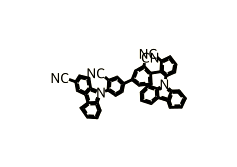 N#Cc1ccc2c(c1)c1ccccc1n2-c1ccc(-c2ccc(-c3c(C#N)cccc3-n3c4ccccc4c4ccccc43)c(C#N)c2)cc1C#N